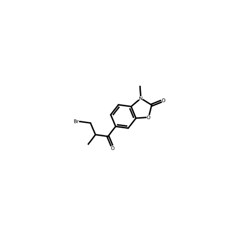 CC(CBr)C(=O)c1ccc2c(c1)oc(=O)n2C